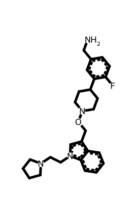 NCc1ccc(F)c(C2CCN(OCc3cn(CCN4CCCC4)c4ccccc34)CC2)c1